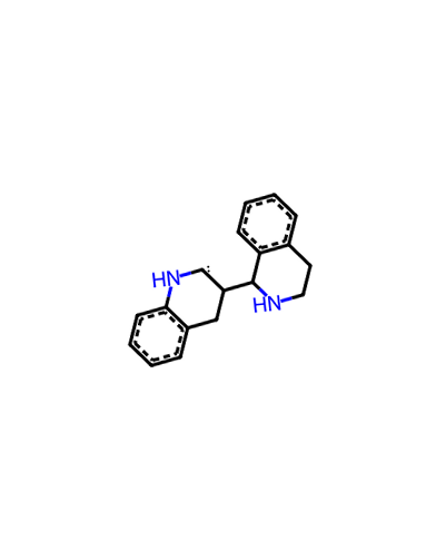 [C]1Nc2ccccc2CC1C1NCCc2ccccc21